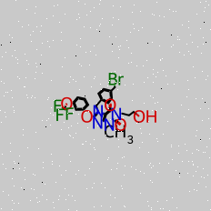 Cn1c(=O)n(CCCO)c(=O)c2c1nc(Oc1cccc(OC(F)(F)F)c1)n2Cc1ccc(CBr)cc1